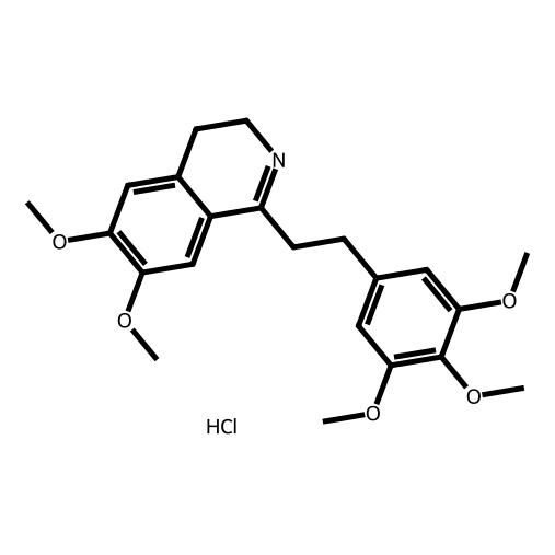 COc1cc2c(cc1OC)C(CCc1cc(OC)c(OC)c(OC)c1)=NCC2.Cl